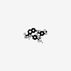 C[S+]([O-])c1ccc(-n2nc(C(N)=O)c3c2-c2cc(NC(=O)c4cc5c(cc4Cl)OCO5)ccc2CC3)cc1